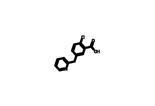 O=C(O)c1cc(Cc2ccccn2)ccc1Cl